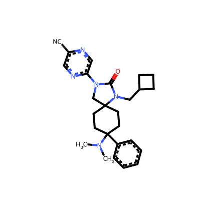 CN(C)C1(c2ccccc2)CCC2(CC1)CN(c1cnc(C#N)cn1)C(=O)N2CC1CCC1